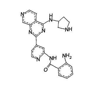 Nc1ccccc1C(=O)Nc1cc(-c2nc(NC3CCNC3)c3ccncc3n2)ccn1